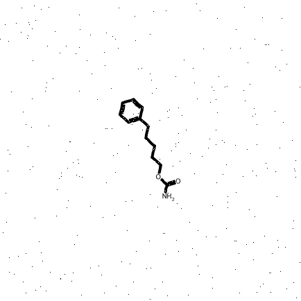 NC(=O)OCCCCCc1ccccc1